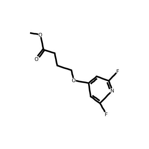 COC(=O)CCCOc1cc(F)nc(F)c1